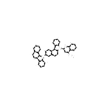 N#Cc1cc(-n2c3ccccc3c3c4ccc(-n5c6ccccc6c6ccc7ccccc7c65)cc4ccc32)nc2ccccc12